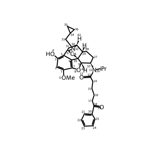 COc1cc(O)c2c3c1O[C@H]1[C@H](N(C(=O)CCCCC(=O)c4ccccc4)C(C)C)CC[C@H]4[C@@H](C2)N(CC2CC2)CC[C@@]341